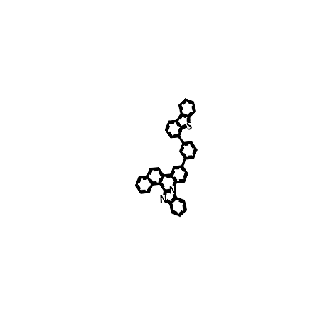 c1cc(-c2ccc3c(c2)c2ccc4ccccc4c2c2nc4ccccc4n32)cc(-c2cccc3c2sc2ccccc23)c1